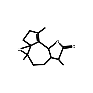 CC1=C2C3OC(=O)C(C)C3CCC3(C)OC23CC1